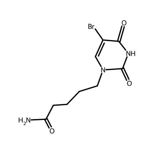 NC(=O)CCCCn1cc(Br)c(=O)[nH]c1=O